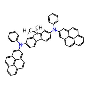 C[Si]1(C)c2cc(N(c3ccccc3)c3cc4ccc5cccc6ccc(c3)c4c56)ccc2-c2ccc(N(c3ccccc3)c3cc4ccc5cccc6ccc(c3)c4c56)cc21